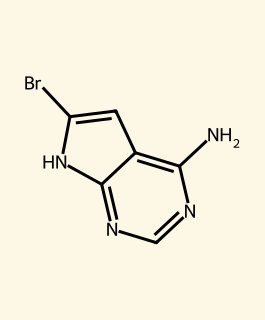 Nc1ncnc2[nH]c(Br)cc12